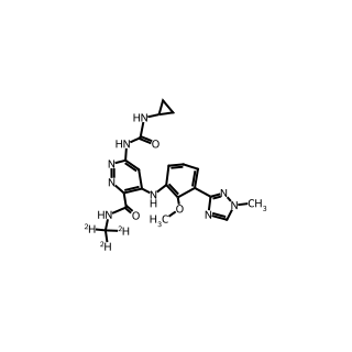 [2H]C([2H])([2H])NC(=O)c1nnc(NC(=O)NC2CC2)cc1Nc1cccc(-c2ncn(C)n2)c1OC